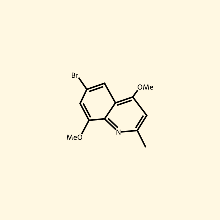 COc1cc(C)nc2c(OC)cc(Br)cc12